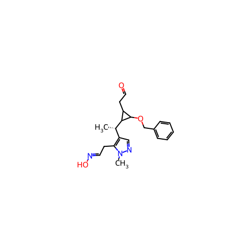 C[C@@H](c1cnn(C)c1C/C=N/O)C1C(CC=O)C1OCc1ccccc1